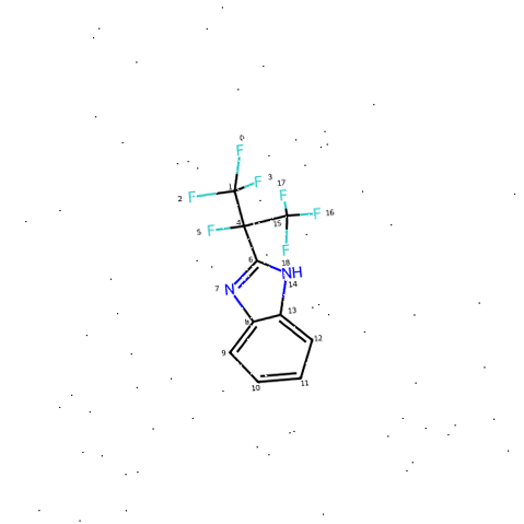 FC(F)(F)C(F)(c1nc2ccccc2[nH]1)C(F)(F)F